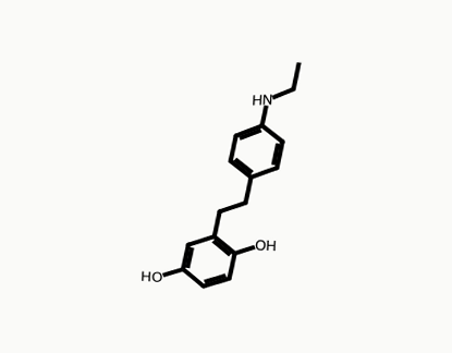 CCNc1ccc(CCc2cc(O)ccc2O)cc1